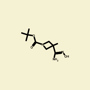 CC(C)(C)OC(=O)N1CC(C)(/C(N)=N/O)C1